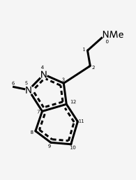 CNCCc1nn(C)c2ccccc12